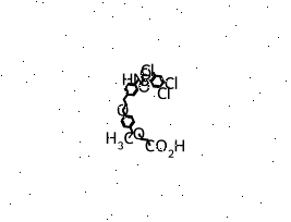 C[C@H](OCCC(=O)O)c1ccc(OCCc2ccc(NS(=O)(=O)c3cc(Cl)c(Cl)cc3Cl)cc2)cc1